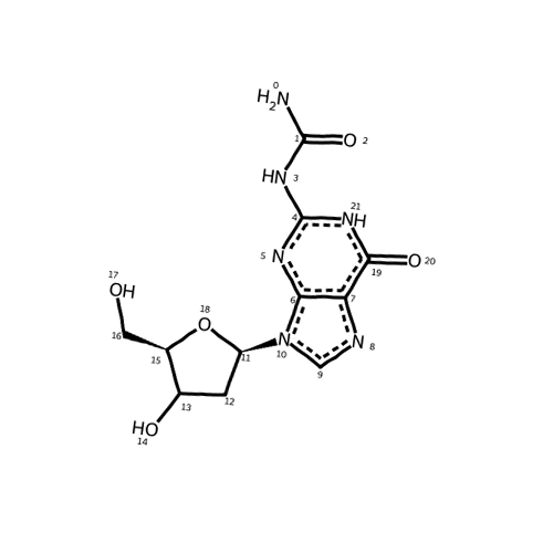 NC(=O)Nc1nc2c(ncn2[C@H]2CC(O)[C@@H](CO)O2)c(=O)[nH]1